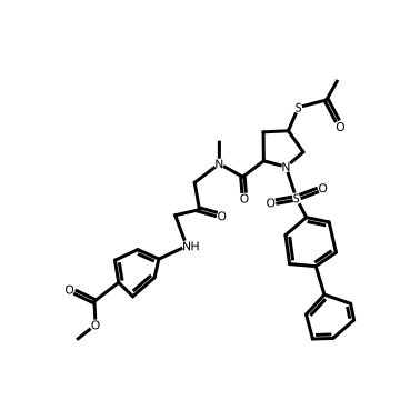 COC(=O)c1ccc(NCC(=O)CN(C)C(=O)C2CC(SC(C)=O)CN2S(=O)(=O)c2ccc(-c3ccccc3)cc2)cc1